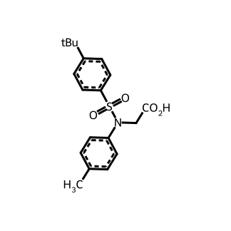 Cc1ccc(N(CC(=O)O)S(=O)(=O)c2ccc(C(C)(C)C)cc2)cc1